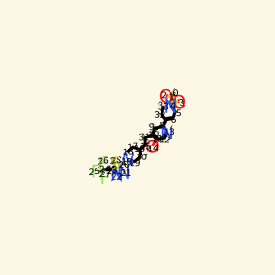 CS(=O)(=O)N1CC=C(c2cc3c(cn2)OC(C2CCN(c4nnc(C(F)(F)F)s4)CC2)C3)CC1